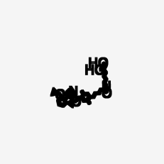 Cc1cc(COC2(c3cnccc3-c3ccccc3OC3CC3)CC2)c(C)cc1CCCCC(=O)N(C)CCCCC(O)CO